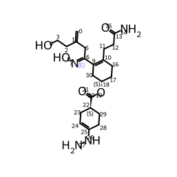 C=C(CCO)C/C(=N\O)C1=C(CCC(N)=O)CC[C@H](OC(=O)[C@@H]2CC=C(NN)CC2)C1